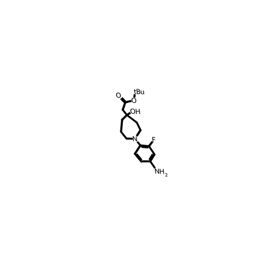 CC(C)(C)OC(=O)CC1(O)CCCN(c2ccc(N)cc2F)CC1